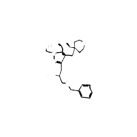 CCn1nc(CC(C)COCc2ccccc2)c(CC2(C=O)CCOCC2)c1C=O